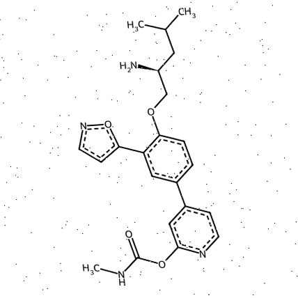 CNC(=O)Oc1cc(-c2ccc(OC[C@@H](N)CC(C)C)c(-c3ccno3)c2)ccn1